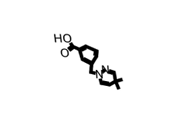 CC1(C)C=CN(Cc2cccc(C(=O)O)c2)N=C1